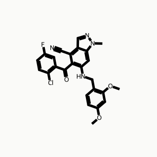 COc1ccc(CNc2cc3c(cnn3C)c(C#N)c2C(=O)c2cc(F)ccc2Cl)c(OC)c1